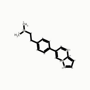 CN(C)CCc1ccc(-c2cnc3ccnn3c2)cc1